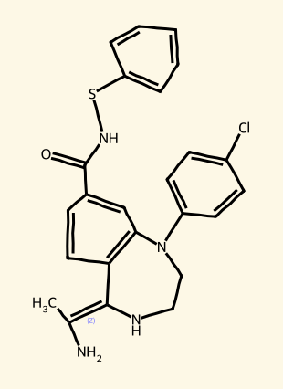 C/C(N)=C1/NCCN(c2ccc(Cl)cc2)c2cc(C(=O)NSc3ccccc3)ccc21